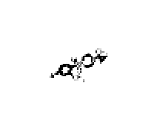 CC1(N2CCN(S(=O)(=O)c3ccc(Br)cc3C(F)(F)F)CC2)CC1